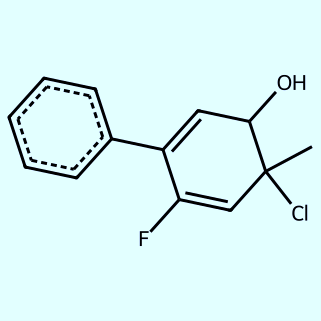 CC1(Cl)C=C(F)C(c2ccccc2)=CC1O